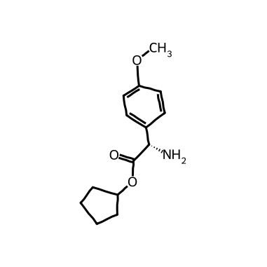 COc1ccc([C@H](N)C(=O)OC2CCCC2)cc1